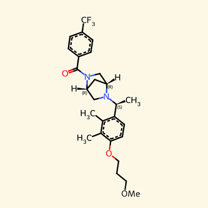 COCCCOc1ccc([C@H](C)N2C[C@H]3C[C@@H]2CN3C(=O)c2ccc(C(F)(F)F)cc2)c(C)c1C